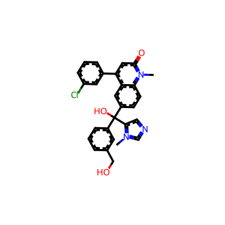 Cn1cncc1C(O)(c1cccc(CO)c1)c1ccc2c(c1)c(-c1cccc(Cl)c1)cc(=O)n2C